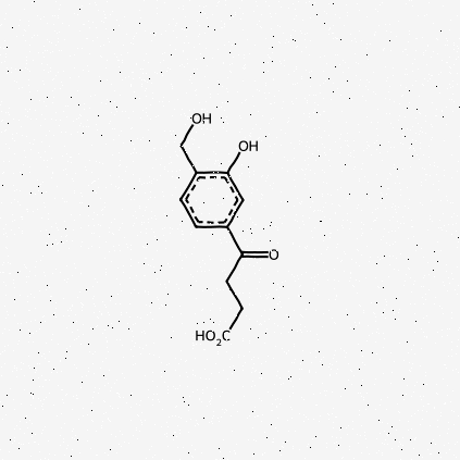 O=C(O)CCC(=O)c1ccc(CO)c(O)c1